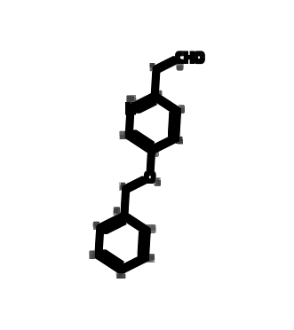 O=CCc1ccc(OCc2ccccc2)cn1